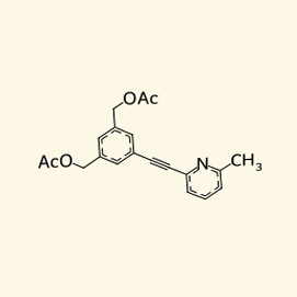 CC(=O)OCc1cc(C#Cc2cccc(C)n2)cc(COC(C)=O)c1